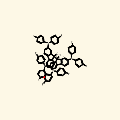 CC1(C2(C)c3cc(N(c4ccc(F)cc4)c4ccc(F)cc4)ccc3-c3ccc(N(c4ccc(F)cc4)c4ccc(F)cc4)cc32)c2cc(N(c3ccc(F)cc3)c3ccc(F)cc3)ccc2-c2ccc(N(c3ccc(F)cc3)c3ccc(F)cc3)cc21